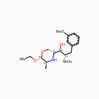 COc1cccc(C[C@H](NC(C)=O)[C@H](O)[C@H]2CO[C@@H](OCC(C)(C)C)[C@H](C)N2)c1